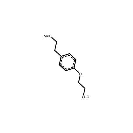 COCCc1ccc(OCCC=O)cc1